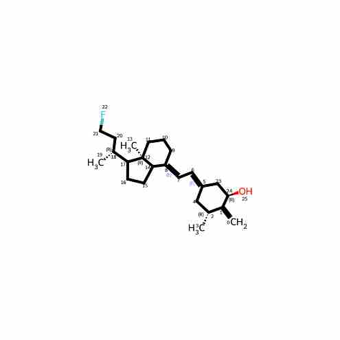 C=C1[C@H](C)C/C(=C\C=C2/CCC[C@@]3(C)C2CCC3[C@H](C)CCF)C[C@H]1O